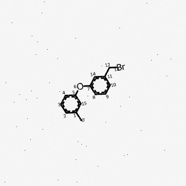 Cc1cccc(Oc2cccc(CBr)c2)c1